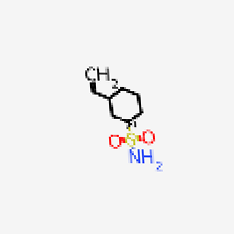 C=CC1CCC[C@@H](S(N)(=O)=O)C1